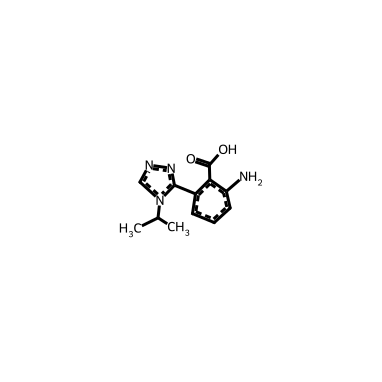 CC(C)n1cnnc1-c1cccc(N)c1C(=O)O